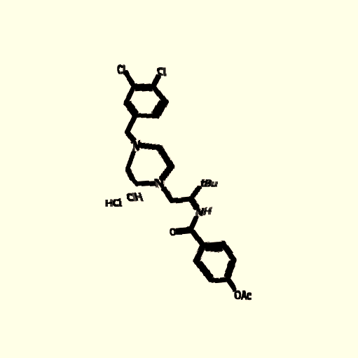 CC(=O)Oc1ccc(C(=O)NC(CN2CCN(Cc3ccc(Cl)c(Cl)c3)CC2)C(C)(C)C)cc1.Cl.Cl